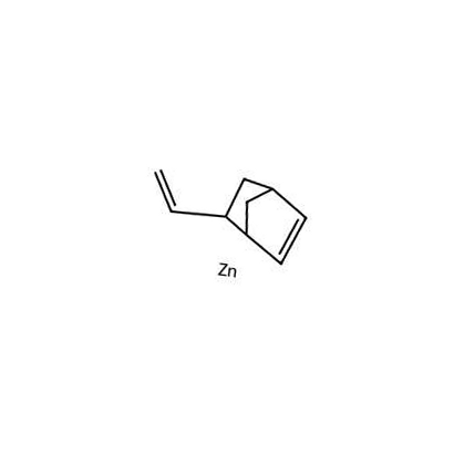 C=CC1CC2C=CC1C2.[Zn]